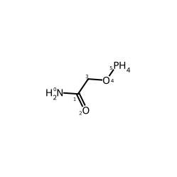 NC(=O)CO[PH4]